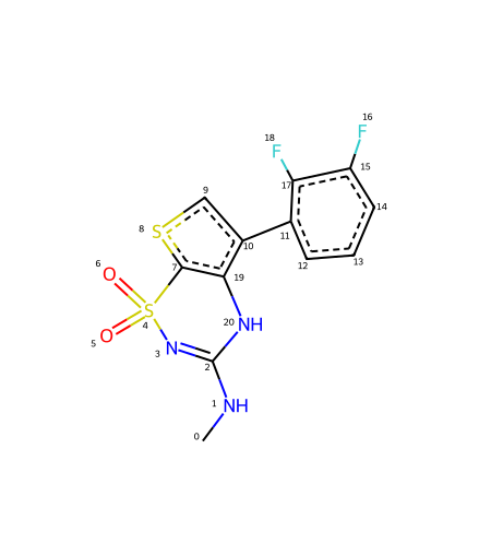 CNC1=NS(=O)(=O)c2scc(-c3cccc(F)c3F)c2N1